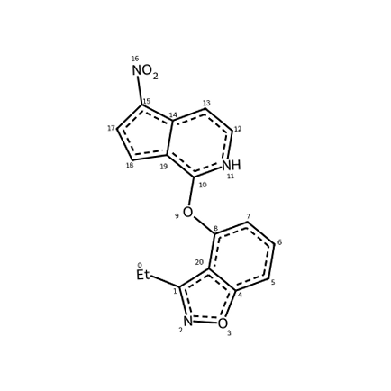 CCc1noc2cccc(Oc3[nH]ccc4c([N+](=O)[O-])ccc3-4)c12